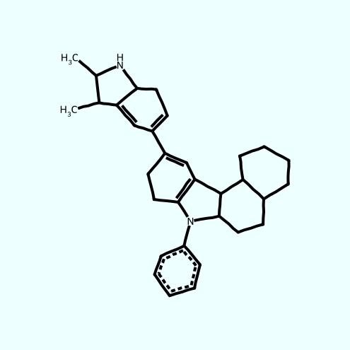 CC1NC2CC=C(C3=CC4=C(CC3)N(c3ccccc3)C3CCC5CCCCC5C43)C=C2C1C